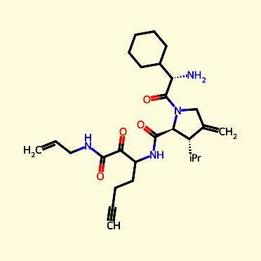 C#CCCC(NC(=O)[C@@H]1[C@@H](C(C)C)C(=C)CN1C(=O)[C@@H](N)C1CCCCC1)C(=O)C(=O)NCC=C